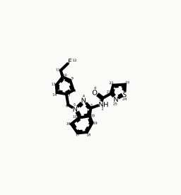 O=C(Nc1nn(Cc2ccc(CF)cc2)c2ccccc12)c1ccsn1